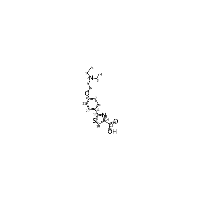 CCN(CC)CCOc1ccc(-c2nc(C(=O)O)cs2)cc1